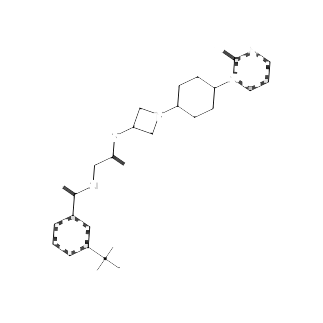 O=C(CNC(=O)c1cccc(C(F)(F)F)c1)NC1CN(C2CCC(n3cccnc3=O)CC2)C1